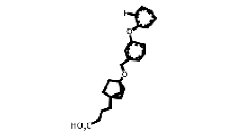 O=C(O)CCCC12CCC(OCc3cccc(Oc4ccccc4F)c3)(CC1)C2